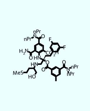 CCCN(CCC)C(=O)c1cc(C)cc(C(=O)O[C@](CCc2cc(F)cc(F)c2)(CNC(CO)CCSC)Nc2c(C(N)=O)cc(C(=O)N(CCC)CCC)cc2C(=O)O)c1